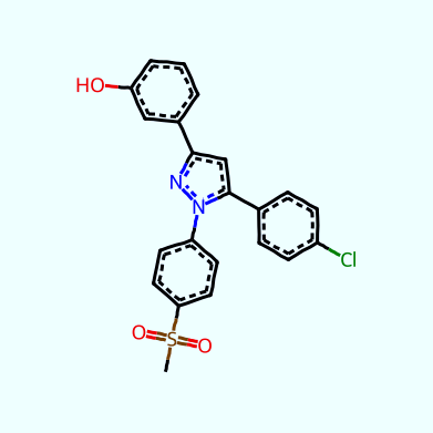 CS(=O)(=O)c1ccc(-n2nc(-c3cccc(O)c3)cc2-c2ccc(Cl)cc2)cc1